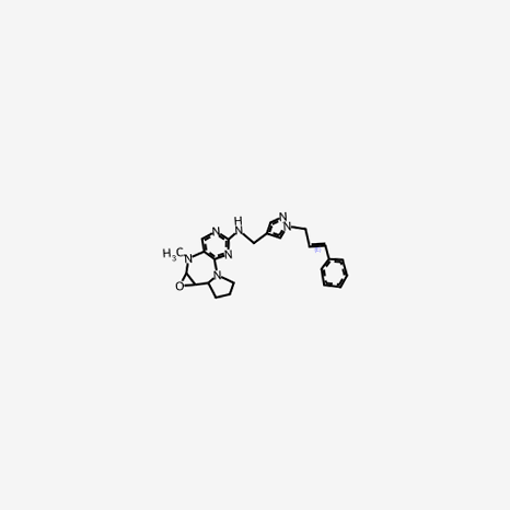 CN1c2cnc(NCc3cnn(C/C=C/c4ccccc4)c3)nc2N2CCCC2C2OC21